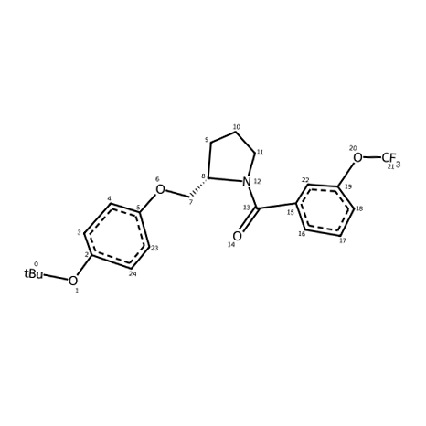 CC(C)(C)Oc1ccc(OC[C@@H]2CCCN2C(=O)c2cccc(OC(F)(F)F)c2)cc1